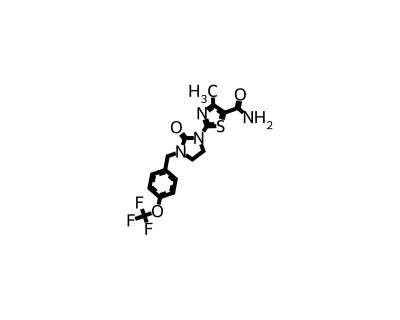 Cc1nc(N2CCN(Cc3ccc(OC(F)(F)F)cc3)C2=O)sc1C(N)=O